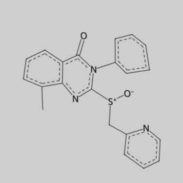 Cc1cccc2c(=O)n(-c3ccccc3)c([S+]([O-])Cc3ccccn3)nc12